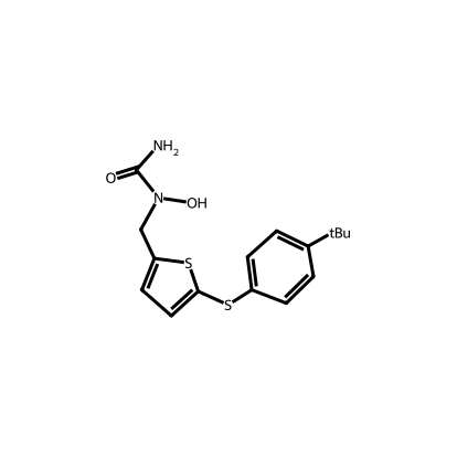 CC(C)(C)c1ccc(Sc2ccc(CN(O)C(N)=O)s2)cc1